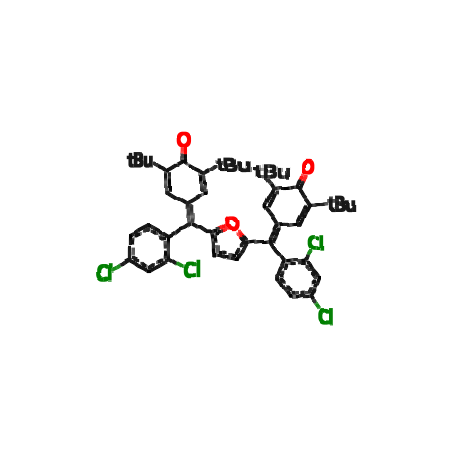 CC(C)(C)C1=CC(=C(c2ccc(C(=C3C=C(C(C)(C)C)C(=O)C(C(C)(C)C)=C3)c3ccc(Cl)cc3Cl)o2)c2ccc(Cl)cc2Cl)C=C(C(C)(C)C)C1=O